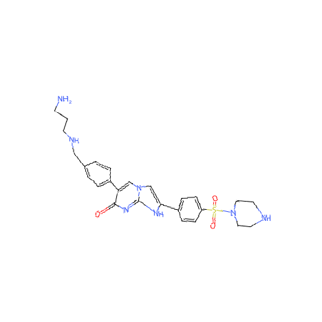 NCCCNCc1ccc(-c2cn3cc(-c4ccc(S(=O)(=O)N5CCNCC5)cc4)[nH]c3nc2=O)cc1